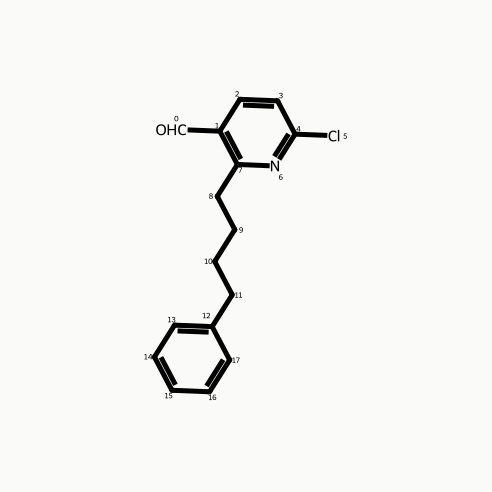 O=Cc1ccc(Cl)nc1CCCCc1ccccc1